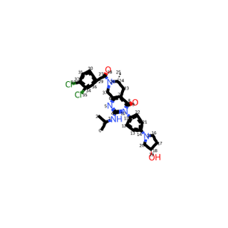 CC(C)Nc1nc2c(c(=O)n1-c1ccc(N3CC[C@H](O)C3)cc1)C[C@@H](C)N(C(=O)c1ccc(Cl)c(Cl)c1)C2